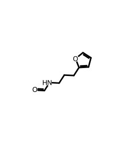 O=CNCCCc1ccco1